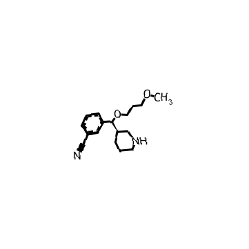 COCCCOC(c1cccc(C#N)c1)[C@@H]1CCCNC1